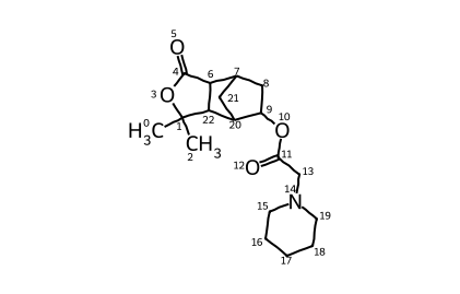 CC1(C)OC(=O)C2C3CC(OC(=O)CN4CCCCC4)C(C3)C21